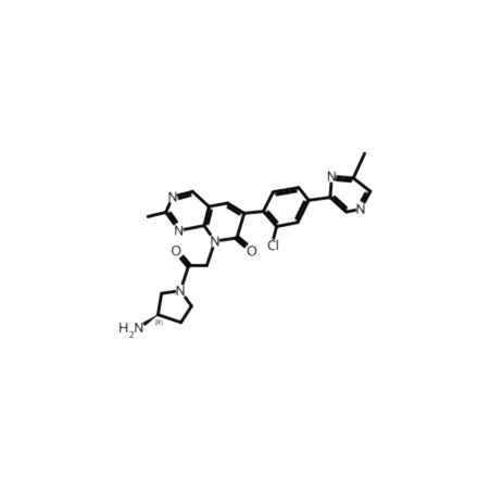 Cc1cncc(-c2ccc(-c3cc4cnc(C)nc4n(CC(=O)N4CC[C@@H](N)C4)c3=O)c(Cl)c2)n1